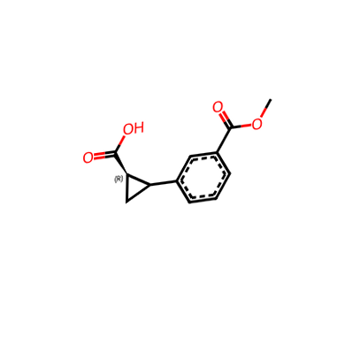 COC(=O)c1cccc(C2C[C@H]2C(=O)O)c1